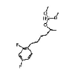 CO[SiH](OC)OC(C)CCCCc1ccc(F)cc1F